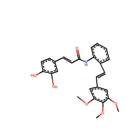 COc1cc(C=Cc2ccccc2NC(=O)/C=C/c2ccc(O)c(O)c2)cc(OC)c1OC